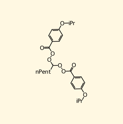 [CH2]CCCC[C](OOC(=O)c1ccc(OC(C)C)cc1)OOC(=O)c1ccc(OC(C)C)cc1